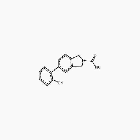 CCCCC(=O)N1Cc2ccc(-c3ccccc3C#N)cc2C1